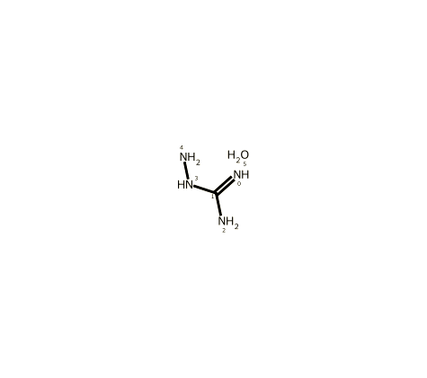 N=C(N)NN.O